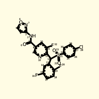 O=C(Nc1ccon1)c1cnc(C(c2cc(F)ccc2F)S(=O)(=O)c2ccc(Cl)cc2)c(F)c1